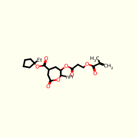 C=C(C)C(=O)OCCC(=O)OC1CC(C(=O)OC2(CC)CCCC2)CC(=O)OC1CCC